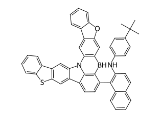 CC(C)(C)c1ccc(Nc2ccc3ccccc3c2-c2ccc3c4cc5sc6ccccc6c5cc4n4c3c2Bc2cc3oc5ccccc5c3cc2-4)cc1